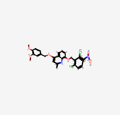 COc1ccc(COc2cc(C)nc3c(OCc4c(Cl)ccc([N+](=O)[O-])c4Cl)cccc23)cc1OC